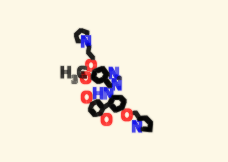 COc1cc2c(Nc3ccc(OCc4ccccn4)cc3C3=CC(=O)C=CC3=O)ncnc2cc1OCCCN1CCCC1